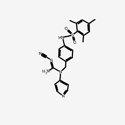 Cc1cc(C)c(S(=O)(=O)Nc2ccc(CN(C(N)=NC#N)c3ccncc3)cc2)c(C)c1